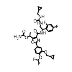 CC(OC(N)=O)c1oc(-c2ccc(OC(F)F)c(OCC3CC3)c2)nc1C(=O)NC(CNC(=O)NCC1CC1)c1ccc(F)cc1F